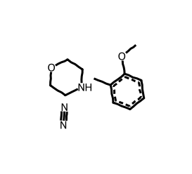 C1COCCN1.COc1ccccc1C.N#N